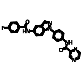 O=C(Nc1ccc2c(cnn2-c2ccc(NC(=O)c3cnccn3)cc2)c1)c1ccc(F)cc1